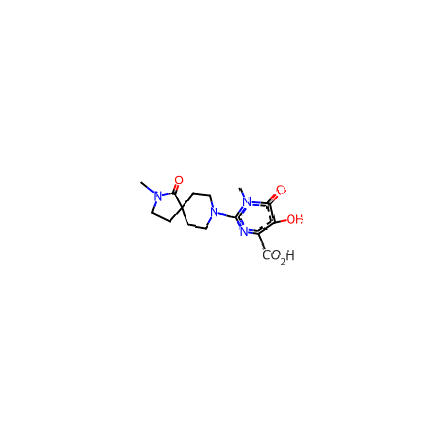 CN1CCC2(CCN(c3nc(C(=O)O)c(O)c(=O)n3C)CC2)C1=O